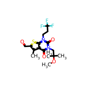 COC(C)(C)Cn1c(=O)c2c(C)c(C=O)sc2n(CCC(F)(F)F)c1=O